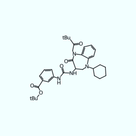 CC(C)(C)OC(=O)c1cccc(NC(=O)NC2CN(C3CCCCC3)c3ccccc3N(CC(=O)C(C)(C)C)C2=O)c1